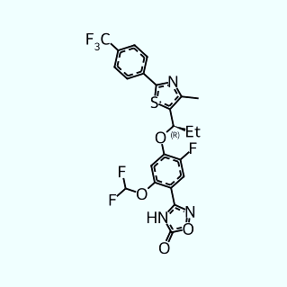 CC[C@@H](Oc1cc(OC(F)F)c(-c2noc(=O)[nH]2)cc1F)c1sc(-c2ccc(C(F)(F)F)cc2)nc1C